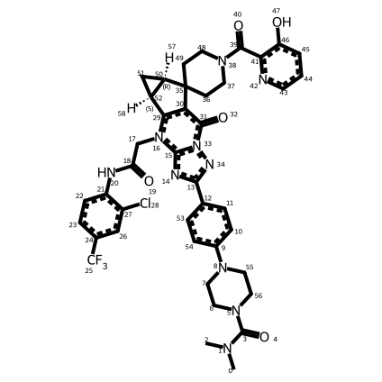 CN(C)C(=O)N1CCN(c2ccc(-c3nc4n(CC(=O)Nc5ccc(C(F)(F)F)cc5Cl)c5c(c(=O)n4n3)C3(CCN(C(=O)c4ncccc4O)CC3)[C@@H]3C[C@H]53)cc2)CC1